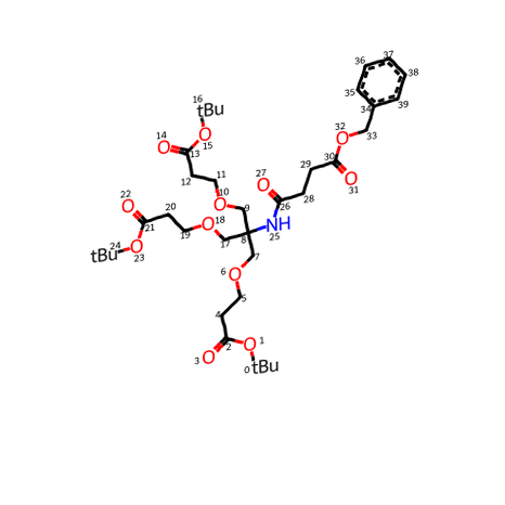 CC(C)(C)OC(=O)CCOCC(COCCC(=O)OC(C)(C)C)(COCCC(=O)OC(C)(C)C)NC(=O)CCC(=O)OCc1ccccc1